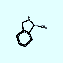 C[C@H]1NCc2ccccc21